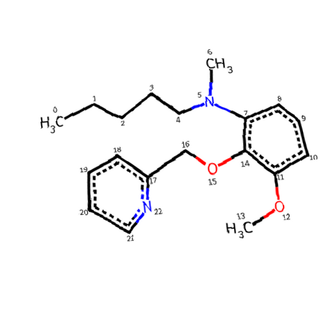 CCCCCN(C)c1cccc(OC)c1OCc1ccccn1